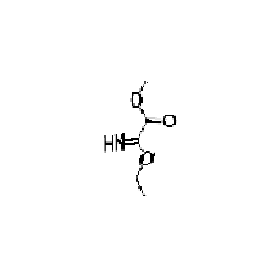 CCOC(=N)C(=O)OC